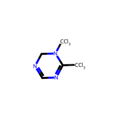 ClC(Cl)(Cl)C1=NC=NCN1C(Cl)(Cl)Cl